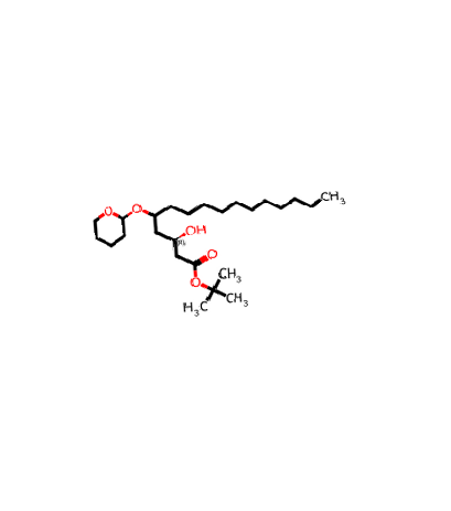 CCCCCCCCCCCC(C[C@@H](O)CC(=O)OC(C)(C)C)OC1CCCCO1